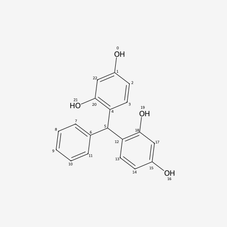 Oc1ccc(C(c2ccccc2)c2ccc(O)cc2O)c(O)c1